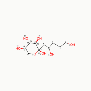 OCCCC(O)C[C@]1(O)OC[C@@H](O)[C@H](O)[C@H]1O